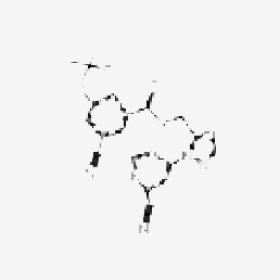 N#Cc1cc(OC(F)(F)F)cc(C(=O)NCc2ncnn2-c2cc(C#N)ncn2)c1